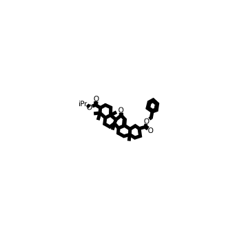 CC(C)OC(=O)C1CCC2(C)C(CCC3(C)C4CCC5(C)CCC(C(=O)OCc6ccccc6)CC5C4=CC(=O)C32)C1(C)C